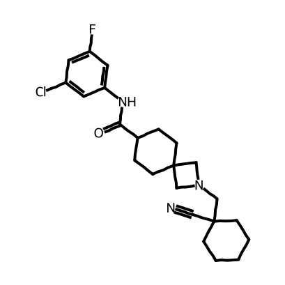 N#CC1(CN2CC3(CCC(C(=O)Nc4cc(F)cc(Cl)c4)CC3)C2)CCCCC1